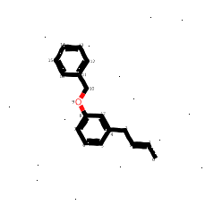 CC=CCc1cccc(OCc2ccccc2)c1